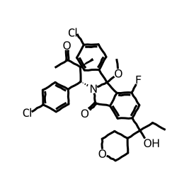 CCC(O)(c1cc(F)c2c(c1)C(=O)N([C@H](c1ccc(Cl)cc1)[C@H](C)C(C)=O)C2(OC)c1ccc(Cl)cc1)C1CCOCC1